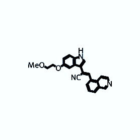 COCCOc1ccc2[nH]cc(/C(C#N)=C/c3cccc4cnccc34)c2c1